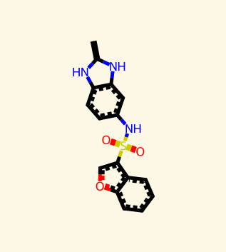 C=C1Nc2ccc(NS(=O)(=O)c3coc4ccccc34)cc2N1